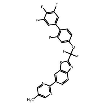 Cc1cnc(-c2ccc3nc(C(F)(F)Oc4ccc(-c5cc(F)c(F)c(F)c5)c(F)c4)sc3c2)nc1